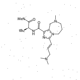 CNC(=O)[C@@H](NC(=O)c1nc(C=CCN(C)C)n2c1CN(C)CCC2)C(C)(C)C